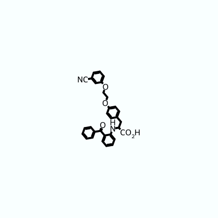 N#Cc1cccc(OCCOc2ccc(CC(Nc3ccccc3C(=O)c3ccccc3)C(=O)O)cc2)c1